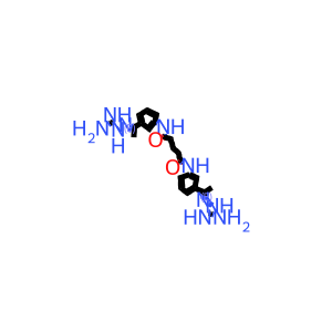 C/C(=N\NC(=N)N)c1cccc(NC(=O)CCCC(=O)Nc2cccc(/C(C)=N/NC(=N)N)c2)c1